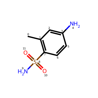 Cc1cc(N)ccc1S(N)(=O)=O